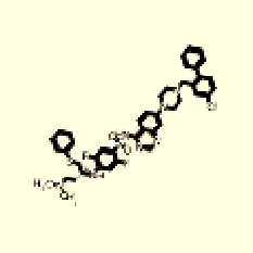 CN(C)CC[C@H](CSc1ccccc1)Nc1cc(F)c(S(=O)(=O)Nc2ncnc3cc(N4CCN(Cc5cc(Cl)ccc5-c5ccccc5)CC4)ccc23)cc1F